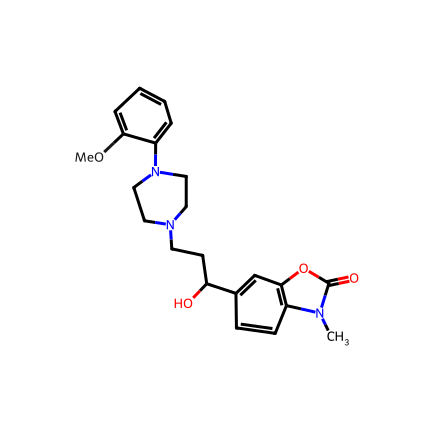 COc1ccccc1N1CCN(CCC(O)c2ccc3c(c2)oc(=O)n3C)CC1